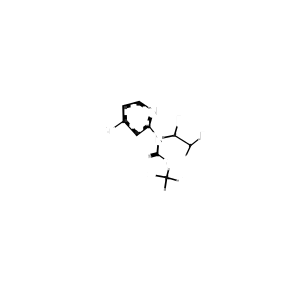 CC(C)(C)OC(=O)N(c1cc(Br)ccn1)C(F)C(F)F